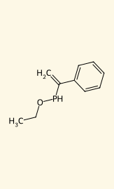 C=C(POCC)c1ccccc1